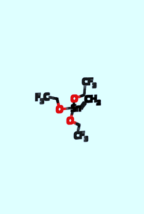 C=[CH][Sn]([O]CC(F)(F)F)([O]CC(F)(F)F)[O]CC(F)(F)F